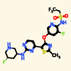 Cc1nc(Oc2cnc(NS(=O)(=O)CC(F)(F)F)c(F)c2)c(-c2ccnc(N[C@@H]3CNC[C@@H](F)C3)n2)s1